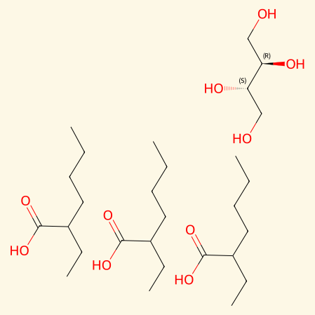 CCCCC(CC)C(=O)O.CCCCC(CC)C(=O)O.CCCCC(CC)C(=O)O.OC[C@@H](O)[C@@H](O)CO